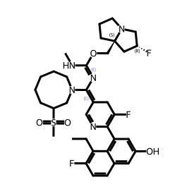 CCc1c(F)ccc2cc(O)cc(C3=C(F)C/C(=C(\N=C(/NC)OC[C@@]45CCCN4C[C@H](F)C5)N4CCCCCC(S(C)(=O)=O)C4)C=N3)c12